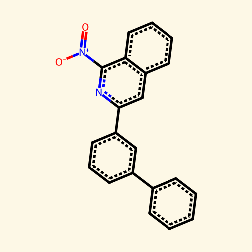 O=[N+]([O-])c1nc(-c2cccc(-c3ccccc3)c2)cc2ccccc12